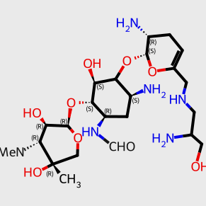 CN[C@@H]1[C@@H](O)[C@@H](O[C@H]2[C@H](NC=O)C[C@H](N)C(O[C@H]3OC(CNCC(N)CO)=CC[C@H]3N)[C@@H]2O)OC[C@]1(C)O